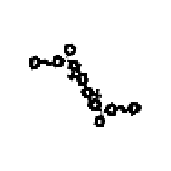 CC1(C)c2cc(-c3ccc4c(c3)C(C)(C)c3cc(N(c5ccccc5)c5ccc(C=Cc6ccccc6)cc5)ccc3-4)ccc2-c2ccc(N(c3ccccc3)c3ccc(C=Cc4ccccc4)cc3)cc21